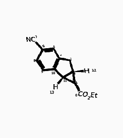 CCOC(=O)C1[C@H]2Cc3cc(C#N)ccc3[C@@H]12